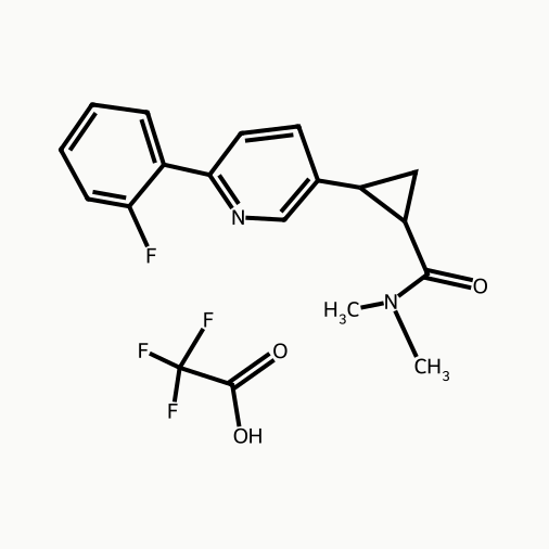 CN(C)C(=O)C1CC1c1ccc(-c2ccccc2F)nc1.O=C(O)C(F)(F)F